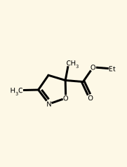 CCOC(=O)C1(C)CC(C)=NO1